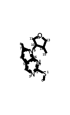 CSc1ncc2cc(C)n(C3COCC3C)c2n1